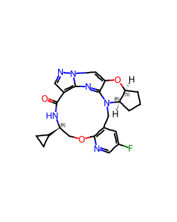 O=C1N[C@H](C2CC2)COc2ncc(F)cc2CN2c3nc4c1cnn4cc3O[C@H]1CCC[C@H]12